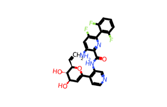 C=C[C@H]1OC(c2ccncc2NC(=O)c2nc(-c3c(F)cccc3F)c(F)cc2N)=C[C@@H](O)[C@@H]1O